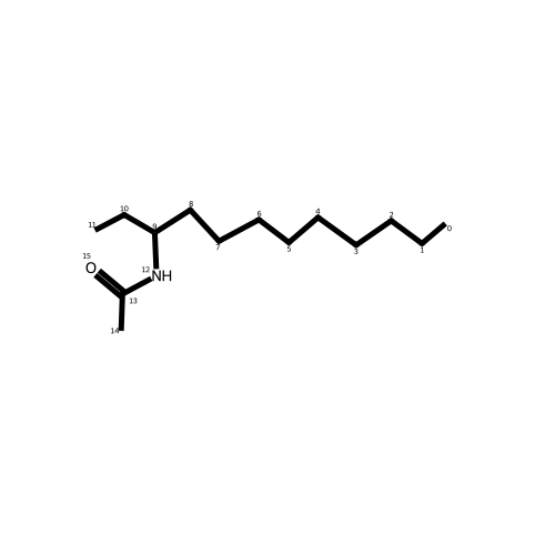 CCCCCCCCCC(CC)NC(C)=O